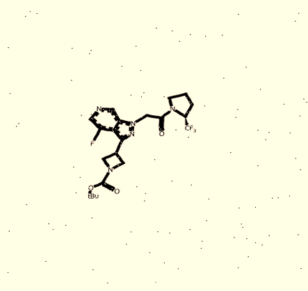 CC(C)(C)OC(=O)N1CC(c2nn(CC(=O)N3CCC[C@H]3C(F)(F)F)c3cncc(F)c23)C1